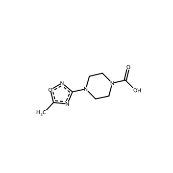 Cc1nc(N2CCN(C(=O)O)CC2)no1